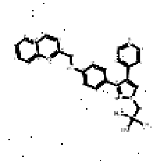 CC(C)(O)Cn1cc(-c2ccncc2)c(-c2ccc(OCc3ccc4ccccc4n3)cc2)n1